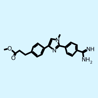 COC(=O)CCc1ccc(-c2cn(C)c(-c3ccc(C(=N)N)cc3)n2)cc1